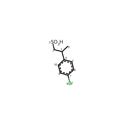 CC(CS(=O)(=O)O)c1ccc(Br)cc1